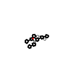 c1ccc(-c2cccc(N(c3cccc(-c4ccccc4)c3)c3ccc(-c4ccc5c(c4)oc4ccccc45)c4oc5ccccc5c34)c2)cc1